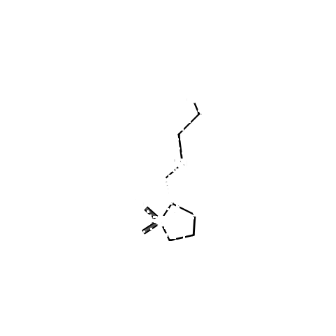 O=S1(=O)CCC[C@H]1CNCCCl